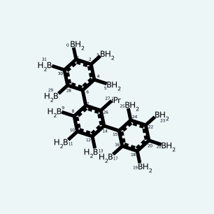 Bc1c(B)c(B)c(-c2c(B)c(B)c(B)c(-c3c(B)c(B)c(B)c(B)c3B)c2C(C)C)c(B)c1B